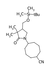 CC1(C)C(=O)N(C2CCCC(C#N)CCC2)CC1CO[Si](C)(C)C(C)(C)C